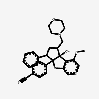 COc1cncc2c1C1(O)C(CN3CCOCC3)CC(c3ccccc3)C1(c1ccc(C#N)cc1)O2